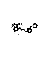 NC1=NS(=O)(=O)c2cc(N)cc(CCCOc3cccc(CN4CCCCC4)c3)c21